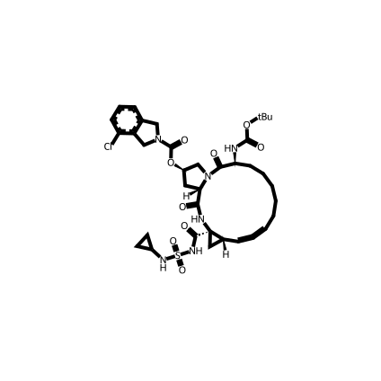 CC(C)(C)OC(=O)N[C@H]1CCCCCC=C=C[C@@H]2C[C@@]2(C(=O)NS(=O)(=O)NC2CC2)NC(=O)[C@@H]2C[C@@H](OC(=O)N3Cc4cccc(Cl)c4C3)CN2C1=O